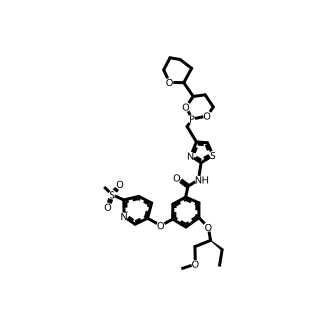 CC[C@@H](COC)Oc1cc(Oc2ccc(S(C)(=O)=O)nc2)cc(C(=O)Nc2nc(CP3OCCC(C4CCCCO4)O3)cs2)c1